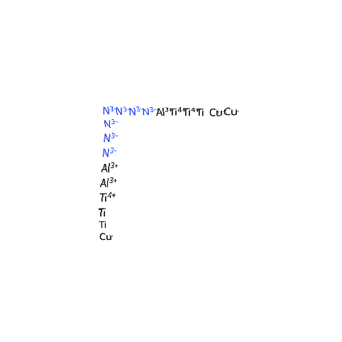 [Al+3].[Al+3].[Al+3].[Cu].[Cu].[Cu].[N-3].[N-3].[N-3].[N-3].[N-3].[N-3].[N-3].[Ti+4].[Ti+4].[Ti+4].[Ti].[Ti].[Ti]